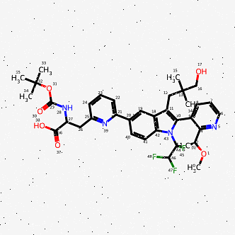 CO[C@@H](C)c1ncccc1-c1c(CC(C)(C)CO)c2cc(-c3cccc(CC(NC(=O)OC(C)(C)C)C(=O)O)n3)ccc2n1C(F)C(F)F